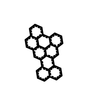 c1cc2cccc3c4cc5ccc6cccc7c8cccc9cc(c(c1)c23)c4c(c98)c5c67